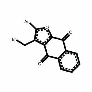 CC(=O)c1oc2c(c1CBr)C(=O)c1ccccc1C2=O